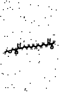 CCOCC(=O)NCCCCCCCCCCCNC(C)=O